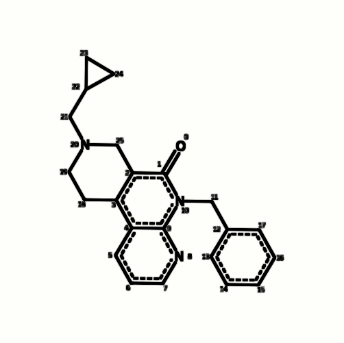 O=c1c2c(c3cccnc3n1Cc1ccccc1)CCN(CC1CC1)C2